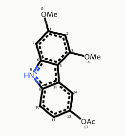 COc1cc(OC)c2c(c1)[nH]c1ccc(OC(C)=O)cc12